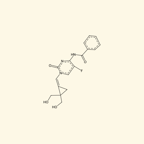 O=C(Nc1nc(=O)n(C=C2CC2(CO)CO)cc1F)c1ccccc1